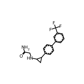 NC(=O)CNC1CC1c1ccc(-c2cccc(C(F)(F)F)c2)cc1